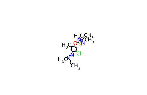 C=CCN(C)C=Nc1cc(C)c(Oc2nc(C(C)(C)C)ns2)cc1Cl